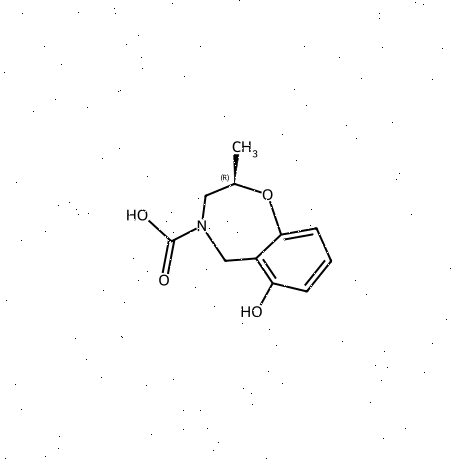 C[C@@H]1CN(C(=O)O)Cc2c(O)cccc2O1